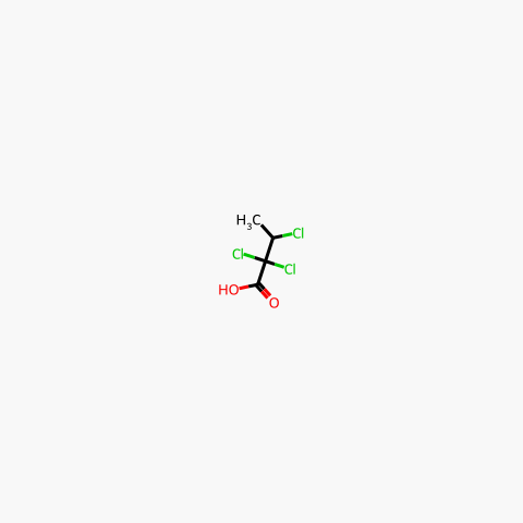 CC(Cl)C(Cl)(Cl)C(=O)O